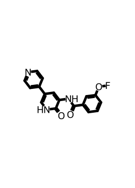 O=C(Nc1cc(-c2ccncc2)c[nH]c1=O)c1cccc(OF)c1